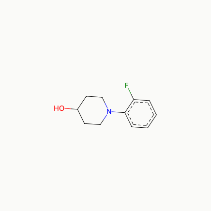 OC1CCN(c2ccccc2F)CC1